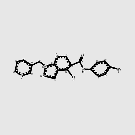 CC(C)c1ccc(NC(=O)c2cnc3c(cnn3Cc3cccnc3)c2Cl)cc1